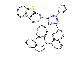 c1ccc(-c2nc(-c3ccc4c(c3)sc3ccccc34)nc(-c3ccc4cccc(N5c6ccccc6-c6cccc7cccc5c67)c4c3)n2)cc1